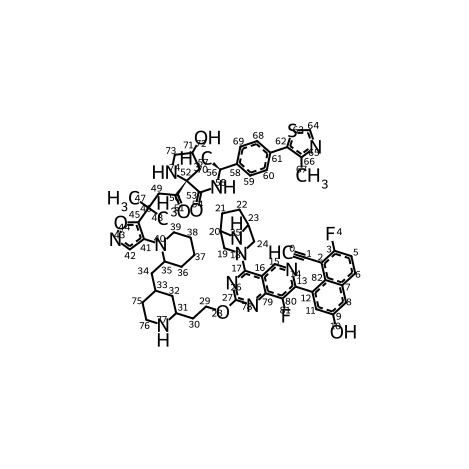 C#Cc1c(F)ccc2cc(O)cc(-c3ncc4c(N5CC6CCC(C5)N6)nc(OCCC5CC(CC6CCCCN6c6cnoc6C(C)(C)CC(=O)[C@]6(C(=O)N[C@@H](C)c7ccc(-c8scnc8C)cc7)CC(O)CN6)CCN5)nc4c3F)c12